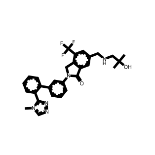 Cn1cnnc1-c1ccccc1-c1cccc(N2Cc3c(cc(CNCC(C)(C)O)cc3C(F)(F)F)C2=O)c1